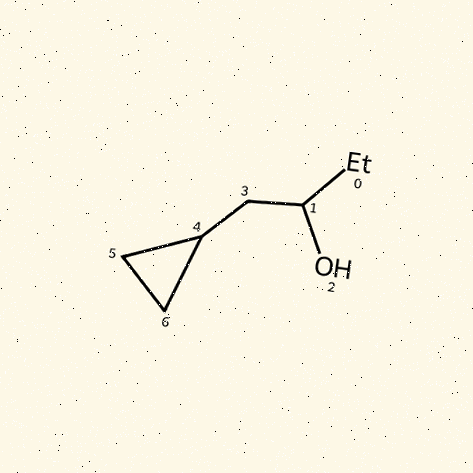 [CH2]CC(O)CC1CC1